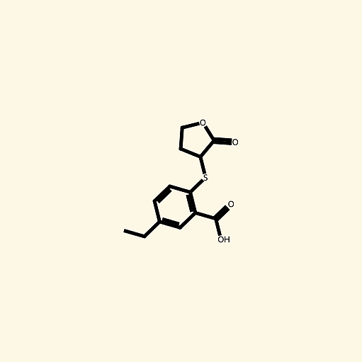 CCc1ccc(SC2CCOC2=O)c(C(=O)O)c1